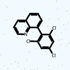 Clc1cc(Cl)c(-c2cccc3cccnc23)c(Cl)c1